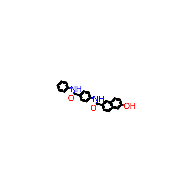 O=C(Nc1ccccc1)c1ccc(NC(=O)c2ccc3cc(O)ccc3c2)cc1